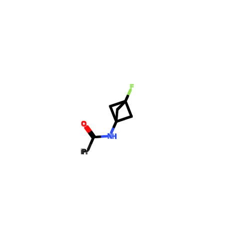 CC(C)C(=O)NC12CC(F)(C1)C2